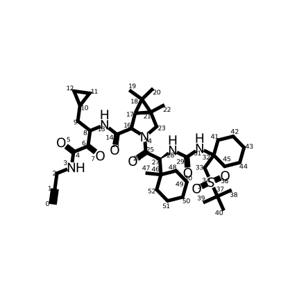 C#CCNC(=O)C(=O)C(CC1CC1)NC(=O)C1C2C(C)(C)C2(C)CN1C(=O)[C@@H](NC(=O)NC1(CS(=O)(=O)C(C)(C)C)CCCCC1)C1(C)CCCCC1